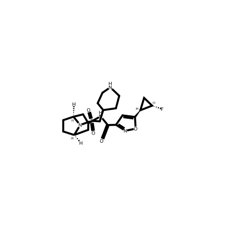 O=C(NC1C[C@H]2CC[C@@H](C1)N2S(=O)(=O)CC1CCNCC1)c1cc([C@H]2C[C@@H]2F)on1